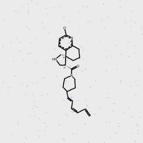 C=C/C=C\C=C\C1CCN(C(=O)[C@@H]2CNC[C@]23CCCc2nc(Cl)ccc23)CC1